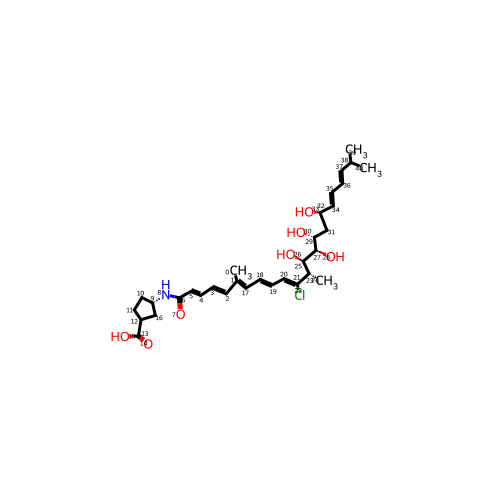 CC(/C=C/C=C/C(=O)N[C@H]1CCC(C(=O)O)C1)=C\C=C\C=C(/Cl)[C@@H](C)[C@@H](O)[C@H](O)[C@H](O)C[C@@H](O)/C=C/C=C/C(C)C